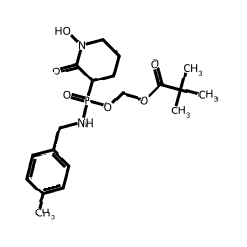 Cc1ccc(CNP(=O)(OCOC(=O)C(C)(C)C)C2CCCN(O)C2=O)cc1